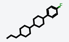 CCCC1CCC(C2CCC(c3[c]cc(F)cc3)CC2)CC1